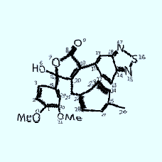 COc1ccc(C2(O)OC(=O)C(c3ccc4nsnc4c3)=C2Cc2ccc(C)cc2)cc1OC